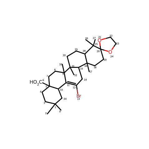 CC1(C)CCC2(C(=O)O)CCC3(C)C(=C(Br)CC4C5(C)CCC6(OCCO6)C(C)(C)C5CCC43C)C2C1